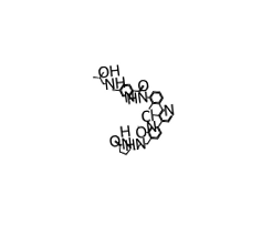 COc1nc(-c2ccnc(-c3cccc(NC(=O)c4ccc(CNC[C@@H](C)O)cn4)c3C)c2Cl)ccc1CNC[C@@H]1CCC(=O)N1